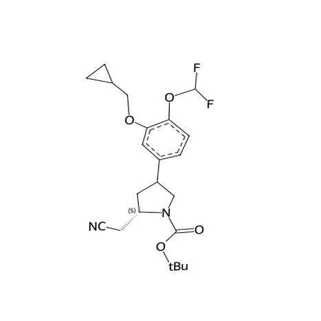 CC(C)(C)OC(=O)N1CC(c2ccc(OC(F)F)c(OCC3CC3)c2)C[C@H]1CC#N